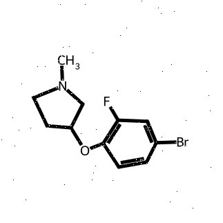 CN1CCC(Oc2ccc(Br)cc2F)C1